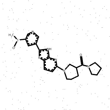 C[S+]([O-])c1cncc(-c2nc3ccc(N4CCCC(C(=O)N5CCCC5)C4)nc3[nH]2)c1